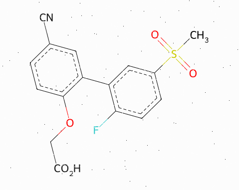 CS(=O)(=O)c1ccc(F)c(-c2cc(C#N)ccc2OCC(=O)O)c1